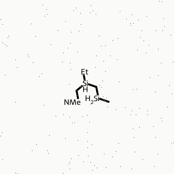 CC[SiH](CNC)C[SiH2]C